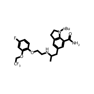 CCCCN1CCc2cc(CC(C)NCCOc3ccc(F)cc3OCC(F)(F)F)cc(C(N)=O)c21